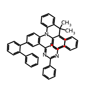 CC1(C)c2ccccc2N(c2ccc(-c3ccccc3-c3ccccc3)cc2-c2nc(-c3ccccc3)nc(-c3ccccc3)n2)c2ccccc21